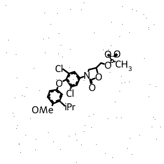 COc1ccc(Oc2c(Cl)cc(N3CC(COS(C)(=O)=O)OC3=O)cc2Cl)cc1C(C)C